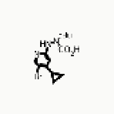 CC(C)(C)N(Nc1cc(C2CC2)c(Br)cn1)C(=O)O